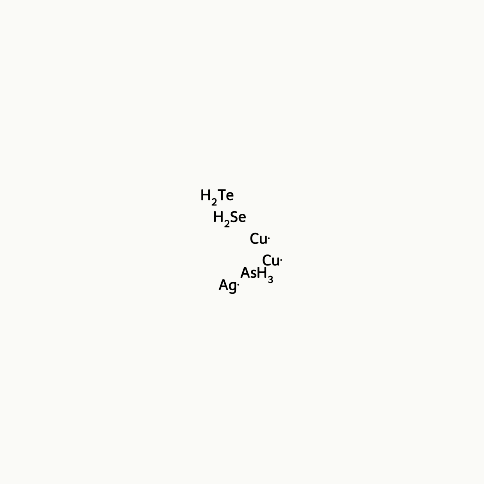 [Ag].[AsH3].[Cu].[Cu].[SeH2].[TeH2]